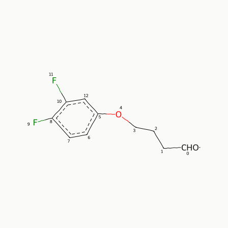 O=[C]CCCOc1ccc(F)c(F)c1